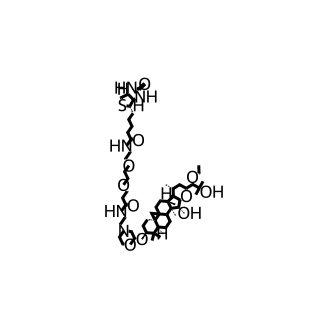 CCO[C@@H](C1C[C@@H](C)[C@H]2C(O1)[C@H](O)[C@@]1(C)C3CC[C@H]4C(C)(C)[C@@H](O[C@H]5CN(CCNC(=O)CCOCCOCCNC(=O)CCCC[C@@H]6SC[C@@H]7NC(=O)N[C@@H]76)CCO5)CC[C@@]45CC35CC[C@]21C)C(C)(C)O